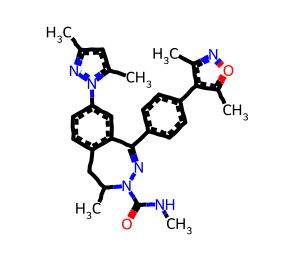 CNC(=O)N1N=C(c2ccc(-c3c(C)noc3C)cc2)c2cc(-n3nc(C)cc3C)ccc2CC1C